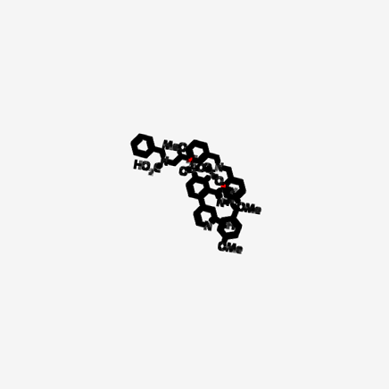 COc1ccc(CN(Cc2ccc(OC)cc2)S(=O)(=O)c2c(S(=O)(=O)N[C@H](C)CN(Cc3ccccc3)C(=O)O)ccc(-c3ccnc(N)c3)c2-c2nnn(Cc3ccc(OC)cc3)n2)cc1